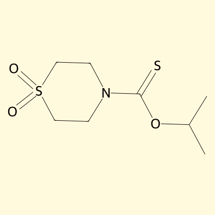 CC(C)OC(=S)N1CCS(=O)(=O)CC1